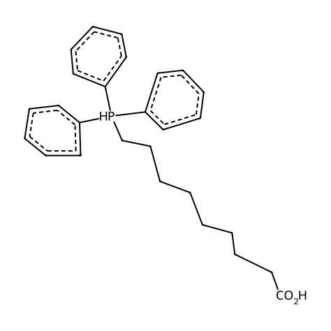 O=C(O)CCCCCCCC[PH](c1ccccc1)(c1ccccc1)c1ccccc1